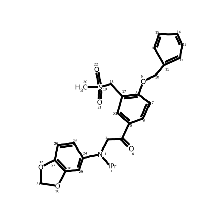 CC(C)N(CC(=O)c1ccc(OCc2ccccc2)c(CS(C)(=O)=O)c1)c1ccc2c(c1)OCO2